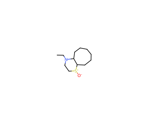 CCN1CC[S+]([O-])C2CCCCCCC21